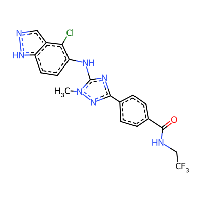 Cn1nc(-c2ccc(C(=O)NCC(F)(F)F)cc2)nc1Nc1ccc2[nH]ncc2c1Cl